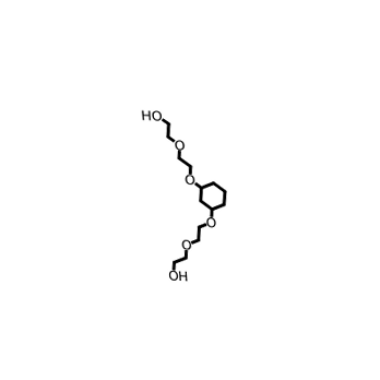 OCCOCCOC1CCCC(OCCOCCO)C1